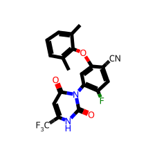 Cc1cccc(C)c1Oc1cc(-n2c(=O)cc(C(F)(F)F)[nH]c2=O)c(F)cc1C#N